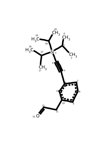 CC(C)[Si](C#Cc1cccc(CC=O)c1)(C(C)C)C(C)C